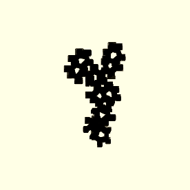 CC1(C)c2ccccc2-c2ccc(-c3ccc(-c4nc(-c5ccc6ccccc6c5)cc(-c5cccc6ccccc56)n4)c4ccccc34)cc21